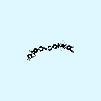 CC1(C)C(NC(=O)c2ccc(N3CCN(CCN4CCN(c5ccc6c(c5)C(=O)N(C5CCC(=O)NC5=O)C6=O)CC4)CC3)nc2)C(C)(C)C1Oc1ccc(C#N)c(Cl)c1